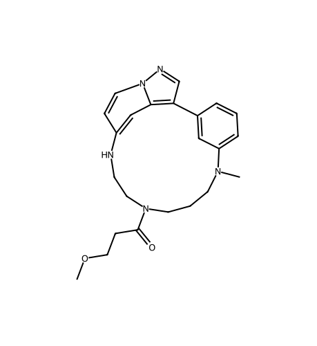 COCCC(=O)N1CCCN(C)c2cccc(c2)-c2cnn3ccc(cc23)NCC1